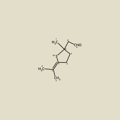 CC(C)=C1CCC(C)(CC=O)S1